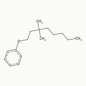 CCCCCC(C)(C)[CH]COc1ccccc1